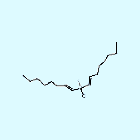 CCCCCCC=C[Si](Cl)(Cl)C=CCCCCCC